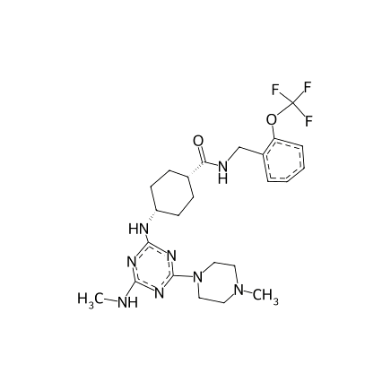 CNc1nc(N[C@H]2CC[C@@H](C(=O)NCc3ccccc3OC(F)(F)F)CC2)nc(N2CCN(C)CC2)n1